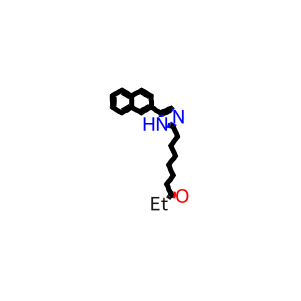 CCC(=O)CCCCCCc1ncc(-c2ccc3ccccc3c2)[nH]1